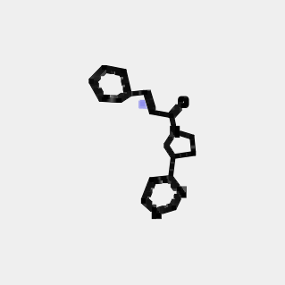 O=C(/C=C/c1ccccc1)N1CCC(c2ccncn2)C1